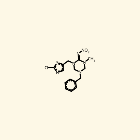 CN1CN(Cc2ccccc2)CN(Cc2cnc(Cl)s2)C1=N[N+](=O)[O-]